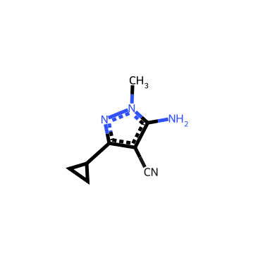 Cn1nc(C2CC2)c(C#N)c1N